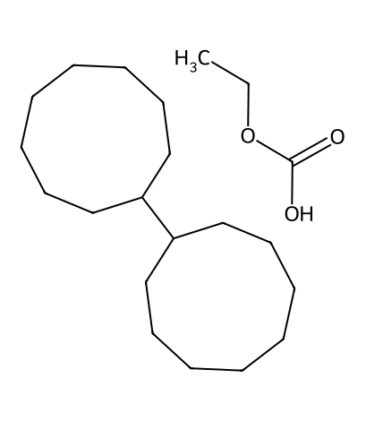 C1CCCCC(C2CCCCCCCC2)CCC1.CCOC(=O)O